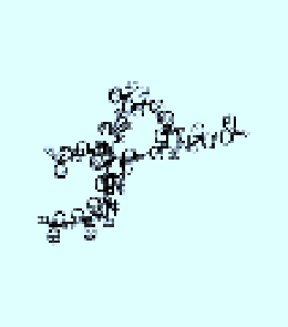 CC(=O)OCOC(=O)CN(CCOCCOc1cc2nc(-c3ncc(C(=O)OCOC(C)=O)o3)oc2cc1N(CC(=O)OCOC(C)=O)CC(=O)OCOC(C)=O)CC(=O)OCOC(C)=O